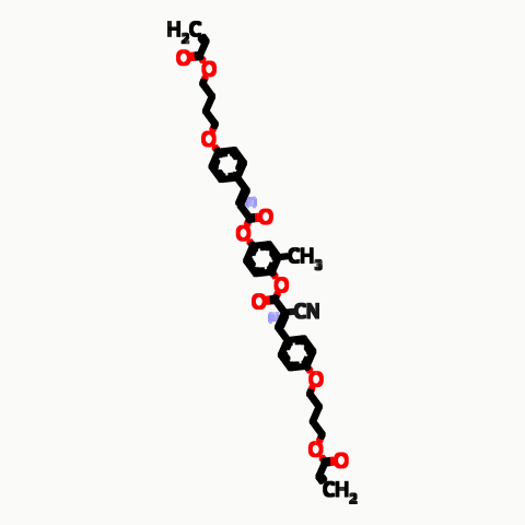 C=CC(=O)OCCCCOc1ccc(/C=C/C(=O)Oc2ccc(OC(=O)/C(C#N)=C/c3ccc(OCCCCOC(=O)C=C)cc3)c(C)c2)cc1